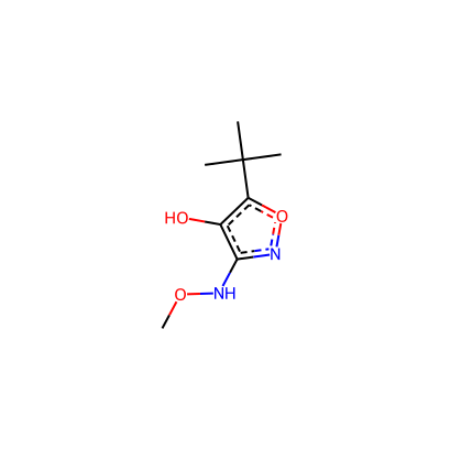 CONc1noc(C(C)(C)C)c1O